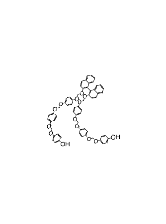 Oc1ccc(OCOc2ccc(OCOc3ccc(OCOc4ccc5ccccc5c4-c4c(OCOc5ccc(OCOc6ccc(OCOc7ccc(O)cc7)cc6)cc5)ccc5ccccc45)cc3)cc2)cc1